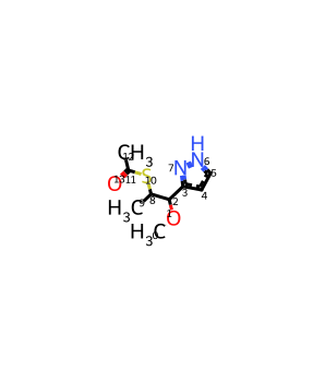 COC(c1cc[nH]n1)C(C)SC(C)=O